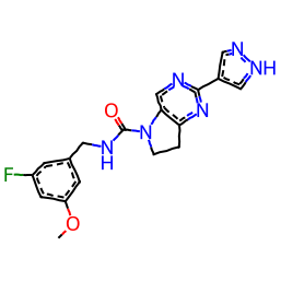 COc1cc(F)cc(CNC(=O)N2CCc3nc(-c4cn[nH]c4)ncc32)c1